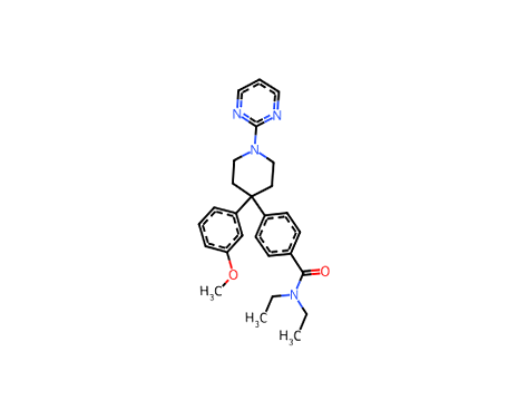 CCN(CC)C(=O)c1ccc(C2(c3cccc(OC)c3)CCN(c3ncccn3)CC2)cc1